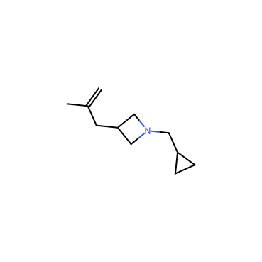 C=C(C)CC1CN(CC2CC2)C1